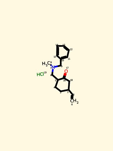 C=CC1CCC(CN(C)Cc2ccccc2)C(=O)C1.Cl